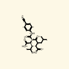 CC(C)CC(CC(=O)O)C(=O)N(C(=O)Nc1ccc(C#N)cc1)[C@@H](CC(C)C)C(=O)O